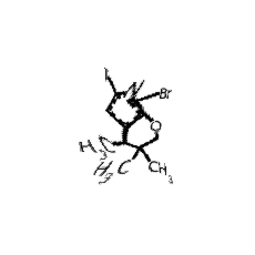 CC1c2cc(I)nc(Br)c2OCC1(C)C